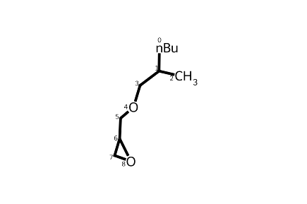 CCCCC(C)COCC1CO1